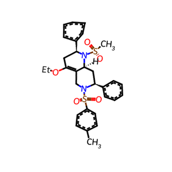 CCOC1=C2CN(S(=O)(=O)c3ccc(C)cc3)[C@H](c3ccccc3)C[C@@H]2N(S(C)(=O)=O)[C@H](c2ccccc2)C1